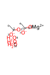 CC(=O)[O-].CC(=O)[O-].O.O.O.[Mg+2]